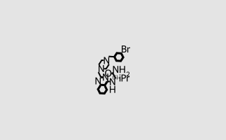 CC(C)[C@H](Nc1nc(CN2CCN(Cc3cccc(Br)c3)CC2)nc2ccccc12)C(N)=O